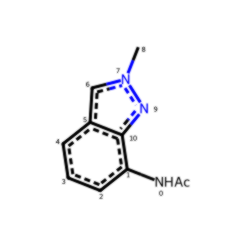 CC(=O)Nc1cccc2cn(C)nc12